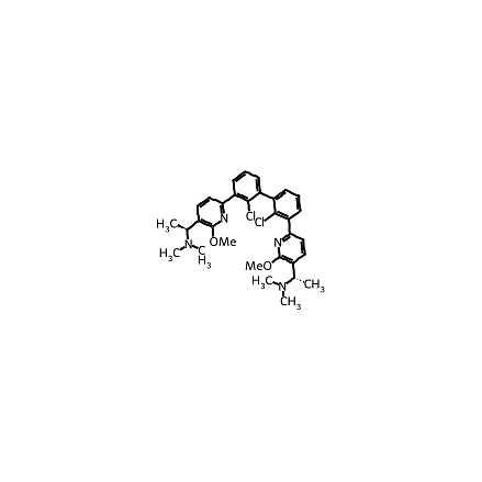 COc1nc(-c2cccc(-c3cccc(-c4ccc([C@H](C)N(C)C)c(OC)n4)c3Cl)c2Cl)ccc1[C@H](C)N(C)C